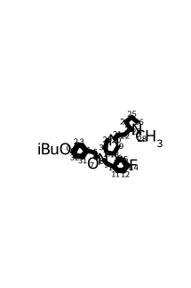 CC(C)COc1ccc(CC(=O)N(Cc2ccc(F)cc2)C2CCN(CCC3CCCN3C)CC2)cc1